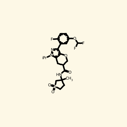 CC(C)n1nc(-c2cc(OC(F)F)ccc2F)c2c1CC(C(=O)NC1(C)CCS(=O)(=O)C1)CO2